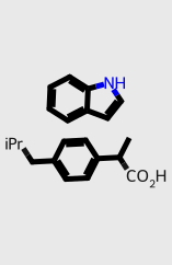 CC(C)Cc1ccc(C(C)C(=O)O)cc1.c1ccc2[nH]ccc2c1